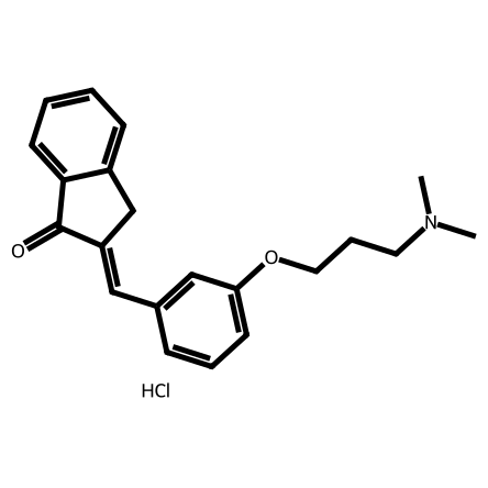 CN(C)CCCOc1cccc(/C=C2\Cc3ccccc3C2=O)c1.Cl